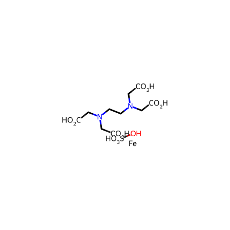 O=C(O)CN(CCN(CC(=O)O)CC(=O)O)CC(=O)O.O=S(=O)(O)O.[Fe]